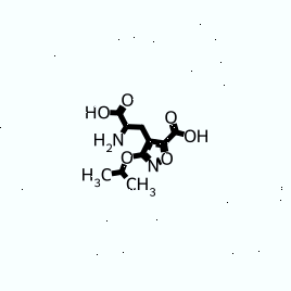 CC(C)Oc1noc(C(=O)O)c1CC(N)C(=O)O